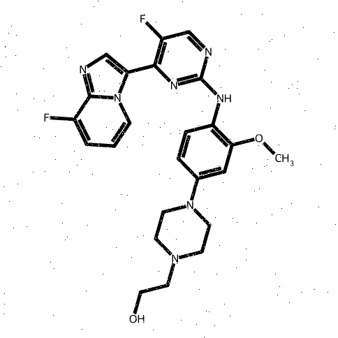 COc1cc(N2CCN(CCO)CC2)ccc1Nc1ncc(F)c(-c2cnc3c(F)cccn23)n1